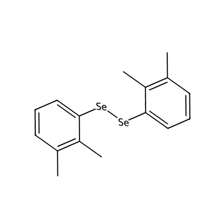 Cc1cccc([Se][Se]c2cccc(C)c2C)c1C